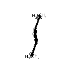 C=C(C)C(=O)OCCCCCCCCCCCOc1ccc(OC(=O)c2ccc(-c3ccc(OCCCCCCCCCCCOC(=O)C(=C)C)cc3)cc2)cc1